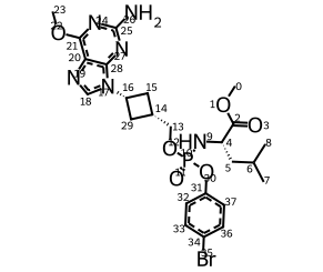 COC(=O)[C@H](CC(C)C)NP(=O)(OC[C@H]1C[C@@H](n2cnc3c(OC)nc(N)nc32)C1)Oc1ccc(Br)cc1